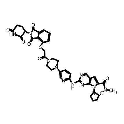 CN(C)C(=O)c1cc2cnc(Nc3ccc(N4CCN(C(=O)CSc5cccc6c5C(=O)N(C5CCC(=O)NC5=O)C6=O)CC4)cn3)nc2n1C1CCCC1